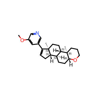 COc1cncc(C2=CC[C@H]3[C@@H]4CC[C@H]5OCCC[C@]5(C)[C@H]4CC[C@]23C)c1